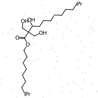 CC(C)CCCCCCCOC(=O)C(CO)(CO)C(O)CCCCCCCC(C)C